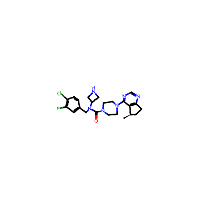 C[C@@H]1CCc2ncnc(N3CCN(C(=O)N(Cc4ccc(Cl)c(F)c4)C4CNC4)CC3)c21